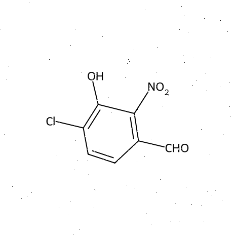 O=Cc1ccc(Cl)c(O)c1[N+](=O)[O-]